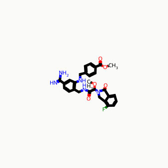 COC(=O)c1ccc(CNc2cc(C(=N)N)ccc2CNC(=O)C(OC)N2Cc3c(F)cccc3C2=O)cc1